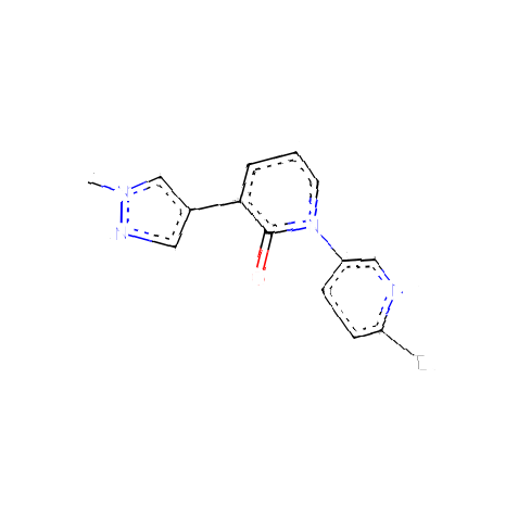 CCc1ccc(-n2cccc(-c3cnn(C)c3)c2=O)cn1